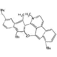 CCCc1c2c(c(C)c3cc(CC(C)C)ccc13)-c1c3c(cc4c(C(C)(C)C)cccc4c3cc[n+]1C)O2